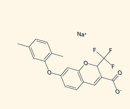 Cc1ccc(C)c(Oc2ccc3c(c2)OC(C(F)(F)F)C(C(=O)[O-])=C3)c1.[Na+]